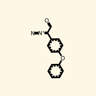 [N-]=[N+]=C(C=O)c1ccc(Oc2ccccc2)cc1